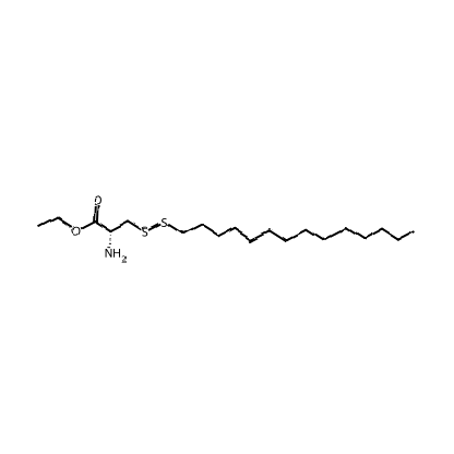 CCCCCCCCCCCCCCSSC[C@H](N)C(=O)OCC